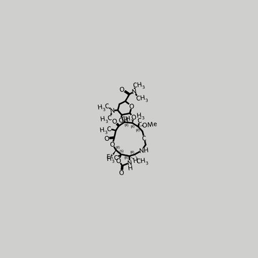 CC[C@H]1OC(=O)C(C)C(=O)[C@H](C)[C@@H](OC2OC(C(=O)N(C)C)CC(N(C)C)C2O)[C@](C)(OC)CCCN[C@H](C)[C@H]2NC(=O)O[C@@]21C